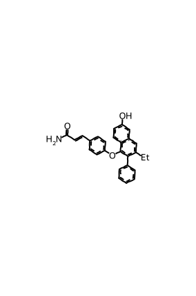 CCc1cc2cc(O)ccc2c(Oc2ccc(/C=C/C(N)=O)cc2)c1-c1ccccc1